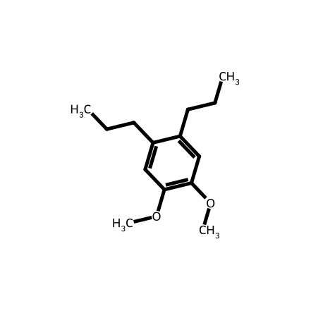 CCCc1cc(OC)c(OC)cc1CCC